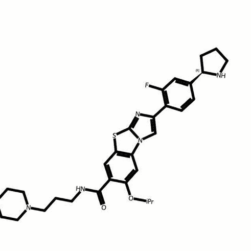 CC(C)Oc1cc2c(cc1C(=O)NCCCN1CCCCC1)sc1nc(-c3ccc([C@H]4CCCN4)cc3F)cn12